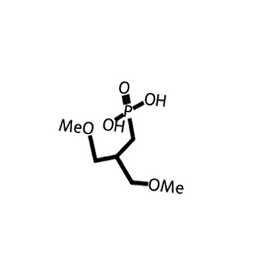 COCC(COC)CP(=O)(O)O